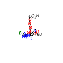 CN(Cc1cccc(NC(=O)c2nc(Br)cnc2N)c1OCCOCCOCCOCC(=O)O)C(=O)OC(C)(C)C